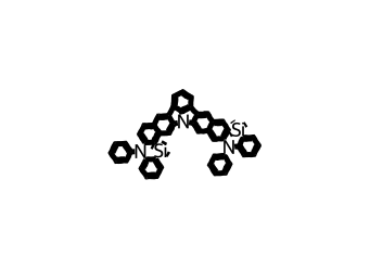 C[Si](C)(C)c1ccccc1N(c1ccccc1)c1ccc2cc3c4cccc5c6cc7ccc(N(c8ccccc8)c8ccccc8[Si](C)(C)C)cc7cc6n(c3cc2c1)c45